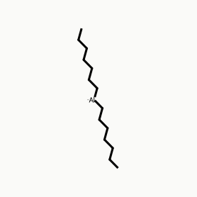 CCCCCC[CH2][Al][CH2]CCCCCC